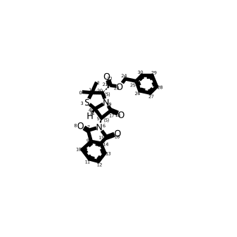 CC1(C)S[C@H]2[C@@H](N3C(=O)c4ccccc4C3=O)C(=O)N2[C@H]1C(=O)OCc1ccccc1